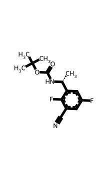 C[C@@H](NC(=O)OC(C)(C)C)c1cc(F)cc(C#N)c1F